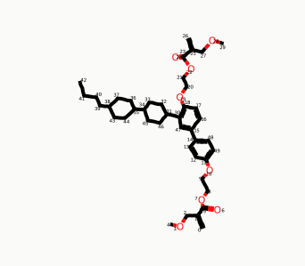 C=C(COC)C(=O)OCCOc1ccc(-c2ccc(OCCOC(=O)C(=C)COC)c(C3CCC(C4CCC(CCCC)CC4)CC3)c2)cc1